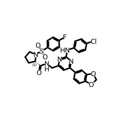 O=C(NCc1cc(-c2ccc3c(c2)OCO3)nc(Nc2ccc(Cl)cc2)n1)[C@@H]1CCCN1S(=O)(=O)c1ccc(F)cc1